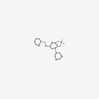 CC1(C)Cc2nc(OCc3ccccn3)cc(-c3cncnc3)c2C1